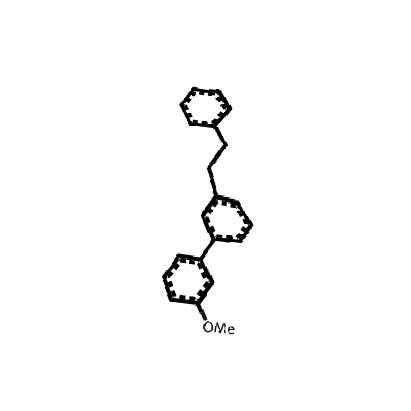 COc1cccc(-c2cccc(CCc3ccccc3)c2)c1